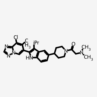 Cc1c(-c2[nH]c3ccc(C4CCN(C(=O)CN(C)C)CC4)cc3c2C(C)C)cn2ncnc2c1Cl